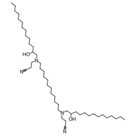 CCCCCCCCCCCCC(O)CN(CCC#N)CCCCCCCCCCCCN(CCC#N)CC(O)CCCCCCCCCCCC